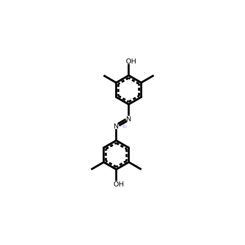 Cc1cc(/N=N/c2cc(C)c(O)c(C)c2)cc(C)c1O